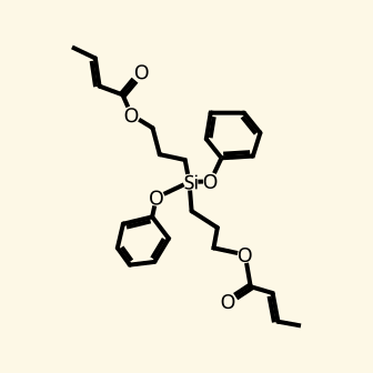 CC=CC(=O)OCCC[Si](CCCOC(=O)C=CC)(Oc1ccccc1)Oc1ccccc1